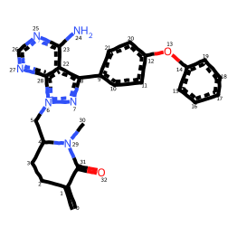 C=C1CCC(Cn2nc(-c3ccc(Oc4ccccc4)cc3)c3c(N)ncnc32)N(C)C1=O